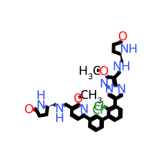 COc1nc(-c2cccc(-c3cccc(-c4cnc5c(CNC[C@H]6CCC(=O)N6)c(OC)nn5c4)c3Cl)c2Cl)ccc1CNC[C@@H]1CCC(=O)N1